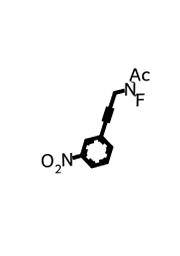 CC(=O)N(F)CC#Cc1cccc([N+](=O)[O-])c1